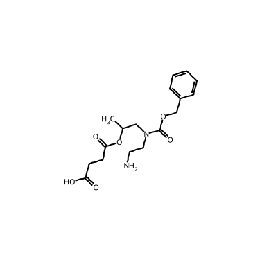 CC(CN(CCN)C(=O)OCc1ccccc1)OC(=O)CCC(=O)O